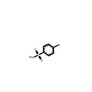 CSS(=O)(=O)c1ccc(Br)cc1